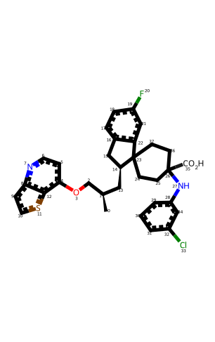 C[C@@H](COc1ccnc2ccsc12)C[C@H]1Cc2ccc(F)cc2C12CCC(Nc1cccc(Cl)c1)(C(=O)O)CC2